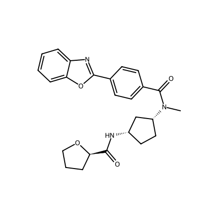 CN(C(=O)c1ccc(-c2nc3ccccc3o2)cc1)[C@@H]1CC[C@H](NC(=O)[C@H]2CCCO2)C1